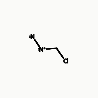 [N][N+]CCl